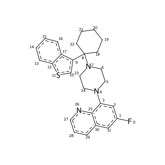 Fc1cc(N2CCN(C3(c4csc5ccccc45)CCCCC3)CC2)c2ncccc2c1